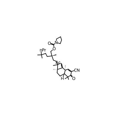 CCCC(C)(C)CC[C@@](C)(CCC(C)(C)[C@]1(C)CC[C@H]2C(C)(C)C(=O)C(C#N)=C[C@]2(C)/C1=C/C(C)=O)COC(=O)N1CCCC1